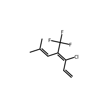 C=C/C(Cl)=C(\C=C(C)C)C(F)(F)F